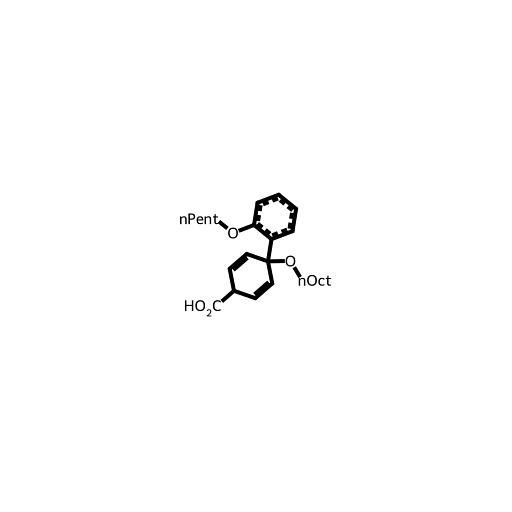 CCCCCCCCOC1(c2ccccc2OCCCCC)C=CC(C(=O)O)C=C1